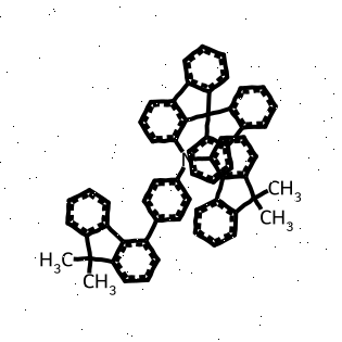 CC1(C)c2ccccc2-c2c(-c3ccc(N(c4cccc5c4-c4ccccc4C5(C)C)c4cccc5c4C4(c6ccccc6-c6ccccc64)c4ccccc4-5)cc3)cccc21